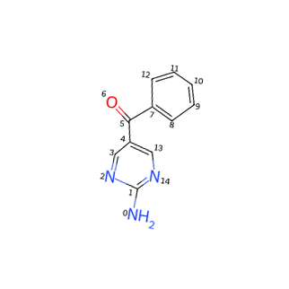 Nc1ncc(C(=O)c2ccccc2)cn1